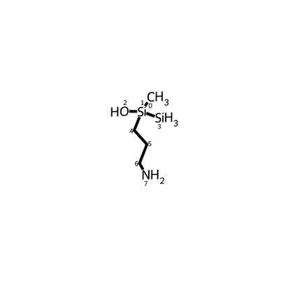 C[Si](O)([SiH3])CCCN